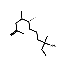 C=C(C)CC(C)[C@H](C)CCCC(C)(N)CC